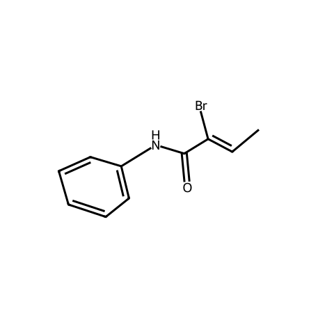 CC=C(Br)C(=O)Nc1ccccc1